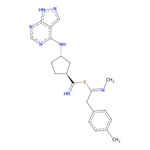 C/N=C(/Cc1ccc(C)cc1)SC(=N)[C@H]1CC[C@H](Nc2ncnc3[nH]ncc23)C1